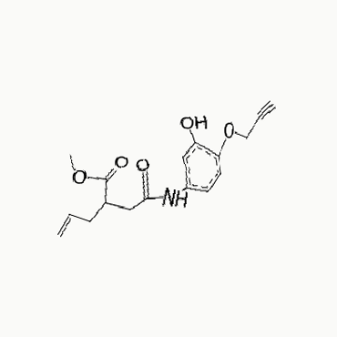 C#CCOc1ccc(NC(=O)CC(CC=C)C(=O)OC)cc1O